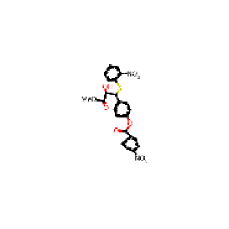 COC(=O)C(O)C(Sc1ccccc1[N+](=O)[O-])c1ccc(OC(=O)c2ccc([N+](=O)[O-])cc2)cc1